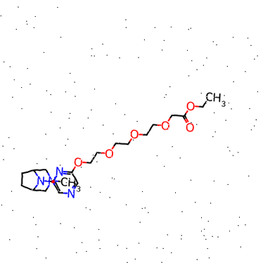 CCOC(=O)COCCOCCOCCOc1cncc(N2C3CCC2CN(C)C3)n1